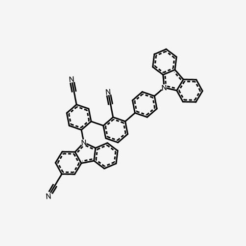 N#Cc1ccc(-n2c3ccccc3c3cc(C#N)ccc32)c(-c2cccc(-c3ccc(-n4c5ccccc5c5ccccc54)cc3)c2C#N)c1